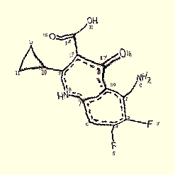 Nc1c(F)c(F)cc2[nH]c(C3CC3)c(C(=O)O)c(=O)c12